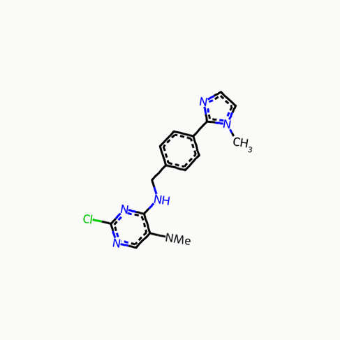 CNc1cnc(Cl)nc1NCc1ccc(-c2nccn2C)cc1